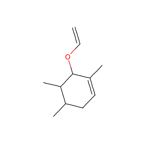 C=COC1C(C)=CCC(C)C1C